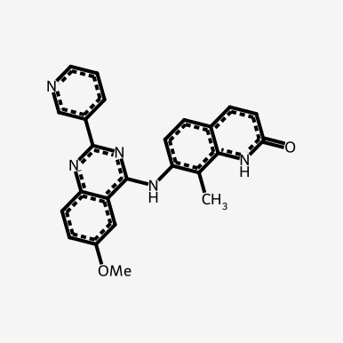 COc1ccc2nc(-c3cccnc3)nc(Nc3ccc4ccc(=O)[nH]c4c3C)c2c1